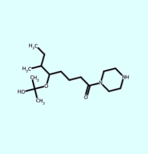 CCC(C)C(CCCC(=O)N1CCNCC1)OC(C)(C)O